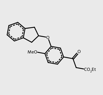 CCOC(=O)CC(=O)c1ccc(OC)c(OC2Cc3ccccc3C2)c1